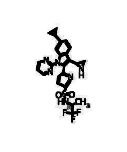 C[C@H](NS(=O)(=O)c1ccc(-c2c(C3CN3)c3ccc(C4CC4)cc3n2-c2ncccn2)nc1)C(F)(F)F